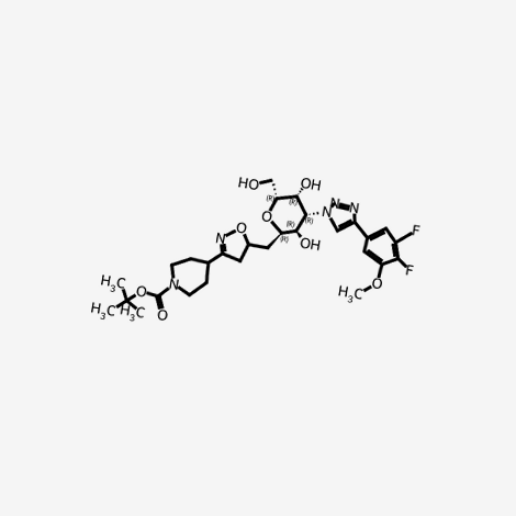 COc1cc(-c2cn([C@H]3[C@@H](O)[C@@H](CO)O[C@H](CC4CC(C5CCN(C(=O)OC(C)(C)C)CC5)=NO4)[C@@H]3O)nn2)cc(F)c1F